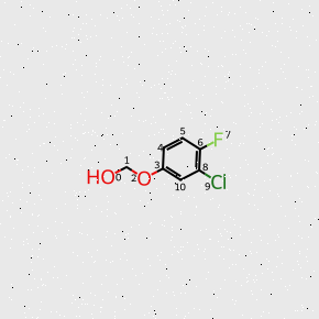 OCOc1ccc(F)c(Cl)c1